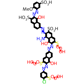 COc1ccc(S(=O)(=O)O)cc1N=Nc1c(S(=O)(=O)O)cc2ccc(N=Nc3c(S(=O)(=O)O)cc4cc(SOOO)c(N=Nc5ccc6c(O)c(N=Nc7ccc(Cl)c(SOOO)c7)c(SOOO)cc6c5)c(O)c4c3N)cc2c1O